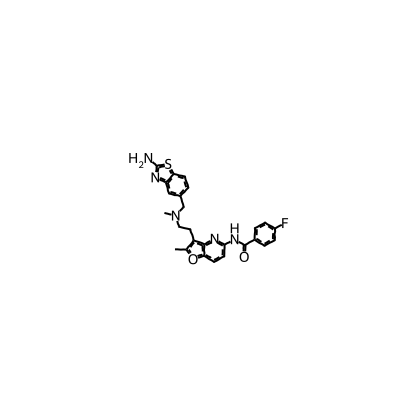 Cc1oc2ccc(NC(=O)c3ccc(F)cc3)nc2c1CCN(C)Cc1ccc2sc(N)nc2c1